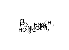 Cc1cc(Nc2cc3cc(C(=O)NC(CO)c4ccc(Cl)c(F)c4)ccc3cn2)n(C)n1